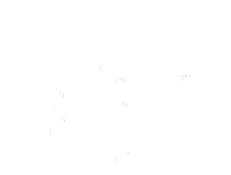 COc1cc(C(=O)N2CC=C(c3cn(C)c(=O)n(C)c3=O)C[C@H]2CO[Si](C)(C)C(C)(C)C)c(NC(=O)O)cc1OCc1ccccc1